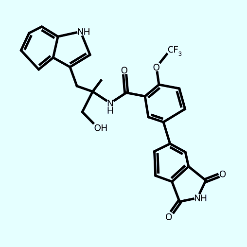 CC(CO)(Cc1c[nH]c2ccccc12)NC(=O)c1cc(-c2ccc3c(c2)C(=O)NC3=O)ccc1OC(F)(F)F